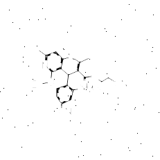 CCOc1nc(C)cc2c1C(c1ccc(C#N)cc1OC)C(C(=O)OCCC#N)=C(C)N2